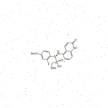 COc1ccc([C@@H](Nc2cccc3[nH]c(=O)ccc23)[C@](O)(CSC)C(F)(F)F)c(F)c1